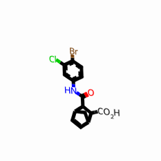 O=C(O)C1C2C=CC(C2)C1C(=O)Nc1ccc(Br)c(Cl)c1